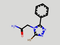 NC(=O)Cn1c(S)nnc1-c1ccccc1